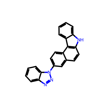 c1ccc2c(c1)nnn2-c1ccc2c(ccc3[nH]c4ccccc4c32)c1